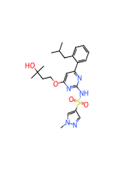 CC(C)Cc1ccccc1-c1cc(OCCC(C)(C)O)nc(NS(=O)(=O)c2cnn(C)c2)n1